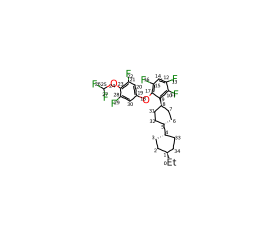 CC[C@H]1CC[C@H]([C@H]2CC[C@H](c3c(F)c(F)[c]c(F)c3Oc3cc(F)c(OC(F)F)c(F)c3)CC2)CC1